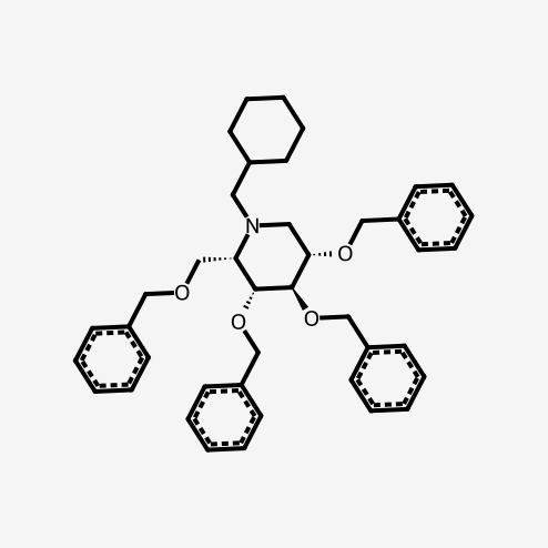 c1ccc(COC[C@H]2[C@@H](OCc3ccccc3)[C@H](OCc3ccccc3)[C@@H](OCc3ccccc3)CN2CC2CCCCC2)cc1